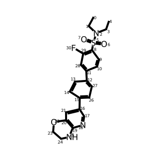 CCN(CC)S(=O)(=O)c1ccc(-c2ccc(-c3cnc4c(c3)OCCN4)cc2)cc1F